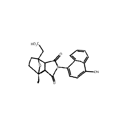 C[C@@]12CCC(CC(=O)O)(O1)C1C(=O)N(c3ccc(C#N)c4ccccc34)C(=O)C12